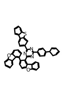 C1=CCC(c2ccc(-c3nc(-c4ccc5c(c4)sc4ccccc45)nc(-c4c(-c5cccc6oc7ccccc7c56)ccc5oc6ccccc6c45)n3)cc2)C=C1